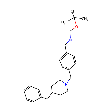 CC(C)(C)OCNCc1ccc(CN2CCC(Cc3ccccc3)CC2)cc1